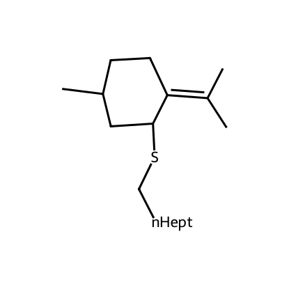 CCCCCCCCSC1CC(C)CCC1=C(C)C